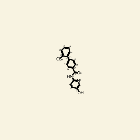 O=C(Nc1ccc(O)cn1)c1ccc(-c2ccccc2Cl)cc1